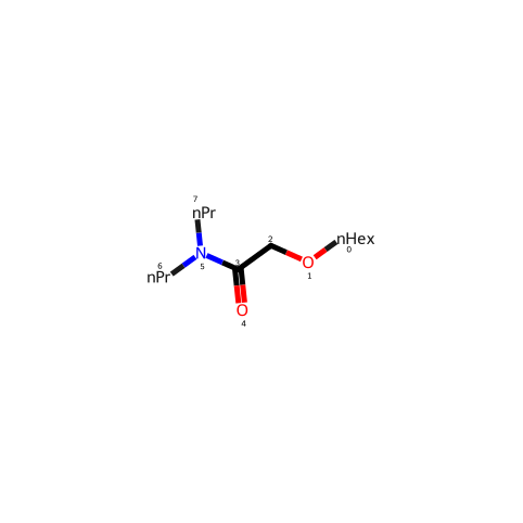 CCCCCCOCC(=O)N(CCC)CCC